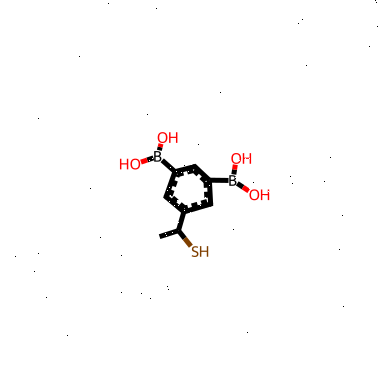 CC(S)c1cc(B(O)O)cc(B(O)O)c1